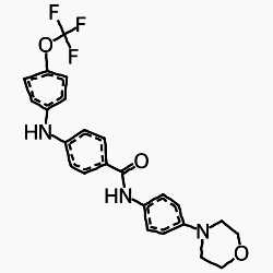 O=C(Nc1ccc(N2CCOCC2)cc1)c1ccc(Nc2ccc(OC(F)(F)F)cc2)cc1